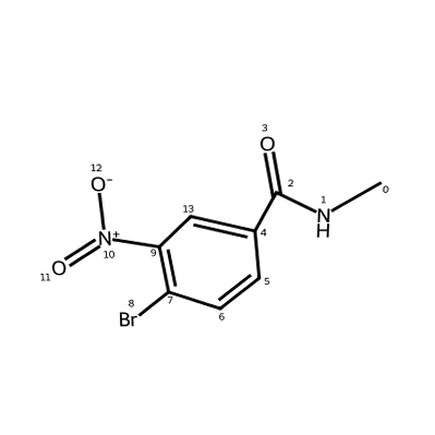 CNC(=O)c1ccc(Br)c([N+](=O)[O-])c1